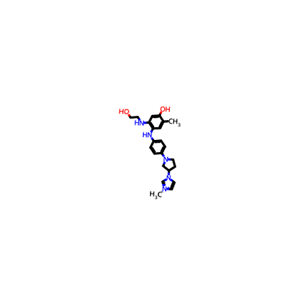 Cc1cc(Nc2ccc(N3CCC(n4cc[n+](C)c4)C3)cc2)c(NCCO)cc1O